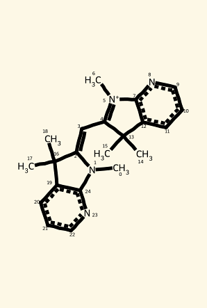 CN1C(=CC2=[N+](C)c3ncccc3C2(C)C)C(C)(C)c2cccnc21